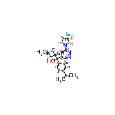 CC(C)c1ccc(C(O)(c2cnnc(N3CCC(F)(F)C3)c2)C2(C)CN(C)C2)cc1